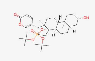 CC(C)(C)OP(=O)(OC(C)(C)C)O[C@]12CC[C@H](c3ccc(=O)oc3)[C@@]1(C)CC[C@H]1[C@H]2CC[C@@H]2C[C@@H](O)CC[C@@]21C